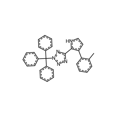 Cc1ccccc1-c1cc[nH]c1-c1nnn(C(c2ccccc2)(c2ccccc2)c2ccccc2)n1